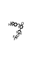 O=c1ccc(-c2cnc(OCC(F)(F)F)nc2)nn1Cc1ccc2[nH]ncc2c1